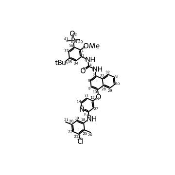 COc1c(NC(=O)Nc2ccc(Oc3ccnc(Nc4cc(C)cc(Cl)c4C)c3)c3ccccc23)cc(C(C)(C)C)cc1P(C)(C)=O